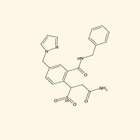 NC(=O)CC(c1ccc(Cn2cccn2)cc1C(=O)NCc1ccccc1)[SH](=O)=O